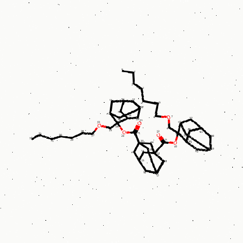 CCCCCCCOCC1(OC(=O)C23CC4CC(C2)CC(C(=O)OC2(COCCCCCCC)C5CC6CC(C5)CC2C6)(C4)C3)C2CC3CC(C2)CC1C3